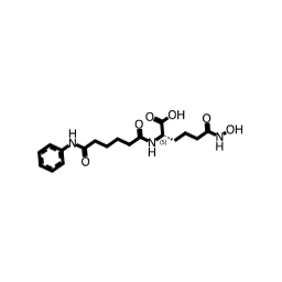 O=C(CCC[C@H](NC(=O)CCCCC(=O)Nc1ccccc1)C(=O)O)NO